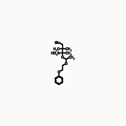 CC(OCCOc1ccccc1)OC(C)(C(C)(C)CC(C)(C)C)S(=O)(=O)O